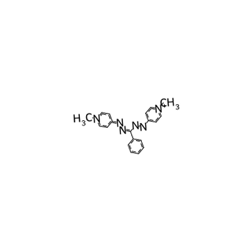 Cn1ccc(=NN=C(N=Nc2cc[n+](C)cc2)c2ccccc2)cc1